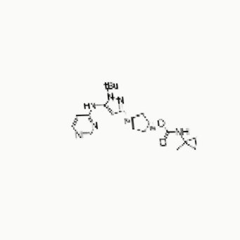 CC1(NC(=O)O[C@@H]2CC[C@H](c3cc(Nc4ccncn4)n(C(C)(C)C)n3)C2)CC1